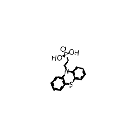 O=P(O)(O)CCN1c2ccccc2Sc2ccccc21